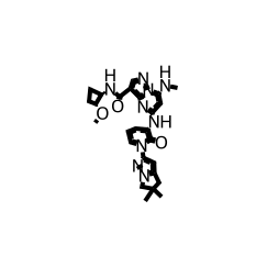 CNc1cc(Nc2cccn(-c3cc4n(n3)CC(C)(C)C4)c2=O)nc2c(C(=O)N[C@@H]3CC[C@H]3OC)cnn12